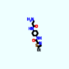 CCc1cnc(C(=O)N[C@H]2CC[C@H](NC(=O)CCN)CC2)s1